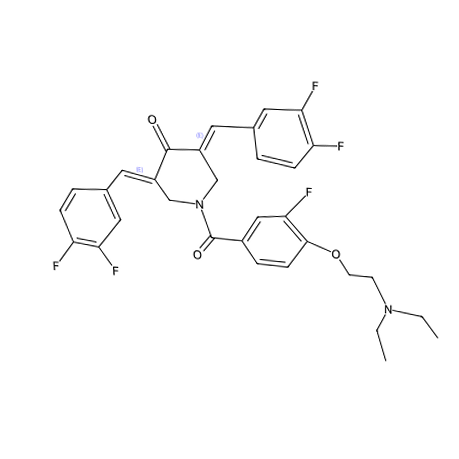 CCN(CC)CCOc1ccc(C(=O)N2C/C(=C\c3ccc(F)c(F)c3)C(=O)/C(=C/c3ccc(F)c(F)c3)C2)cc1F